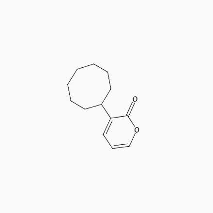 O=c1occcc1C1CCCCCCC1